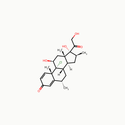 C[C@H]1C[C@H]2[C@@H]3C[C@H](C)[C@](O)(C(=O)CO)[C@@]3(C)C[C@H](O)[C@]2(Cl)[C@@]2(C)C=CC(=O)C=C12